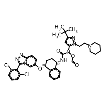 CC(C)(C)c1cc(N(OC=O)C(=O)N[C@H]2CC[C@@H](Oc3ccc4nnc(-c5c(Cl)cccc5Cl)n4c3)c3ccccc32)n(CCN2CCCCC2)n1